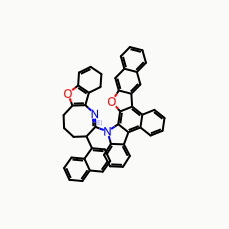 C1=Cc2oc3c(c2CC1)/N=C(/n1c2ccccc2c2c4ccccc4c4c5cc6ccccc6cc5oc4c21)C(c1cccc2ccccc12)CCC3